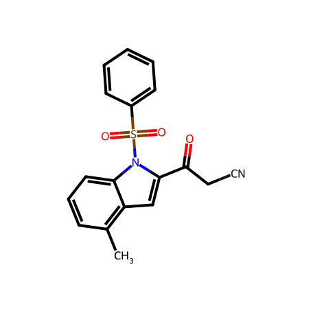 Cc1cccc2c1cc(C(=O)CC#N)n2S(=O)(=O)c1ccccc1